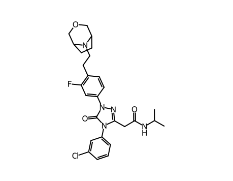 CC(C)NC(=O)Cc1nn(-c2ccc(CCN3C4CCC3COC4)c(F)c2)c(=O)n1-c1cccc(Cl)c1